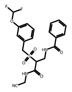 N#CCNC(=O)C(CNC(=O)c1ccccc1)S(=O)(=O)Cc1cccc(OC(F)F)c1